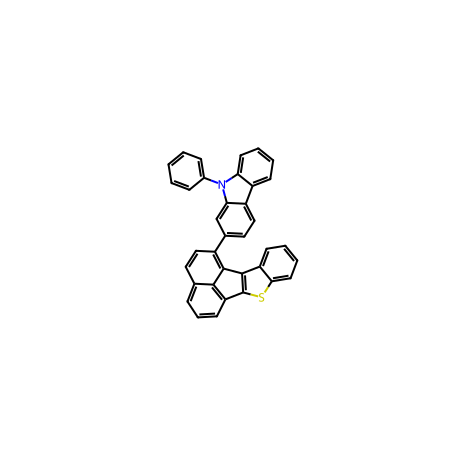 c1ccc(-n2c3ccccc3c3ccc(-c4ccc5cccc6c5c4-c4c-6sc5ccccc45)cc32)cc1